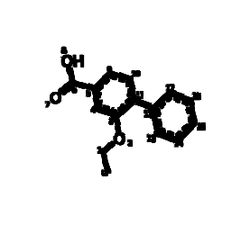 CCOc1cc(C(=O)O)ccc1-c1ccccc1